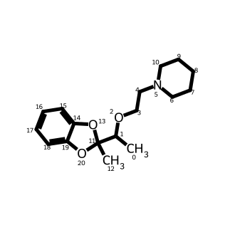 CC(OCCN1CCCCC1)C1(C)Oc2ccccc2O1